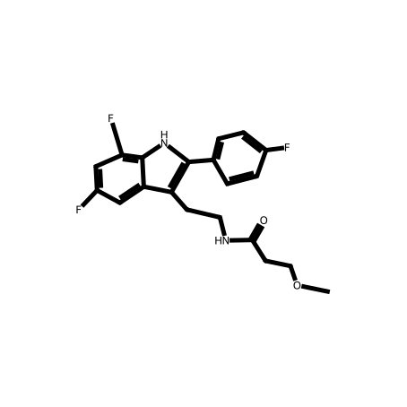 COCCC(=O)NCCc1c(-c2ccc(F)cc2)[nH]c2c(F)cc(F)cc12